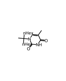 CCCCCCC(C)(CCCCCC)n1cc(C)c(=O)[nH]c1=O